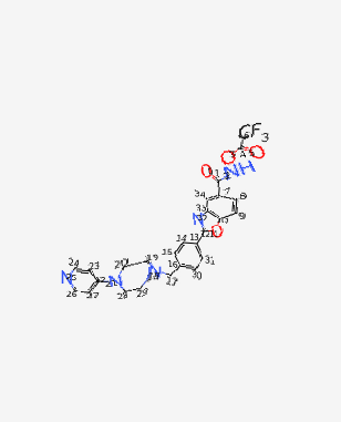 O=C(NOC(=O)C(F)(F)F)c1ccc2oc(-c3ccc(CN4CCN(c5ccncc5)CC4)cc3)nc2c1